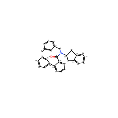 Cc1cccc(CN(C(=O)c2ccccc2-c2ccccc2)C2Cc3ccccc3C2)c1